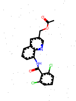 CC(=O)OCc1cnc2c(NC(=O)c3c(Cl)cccc3Cl)cccc2c1